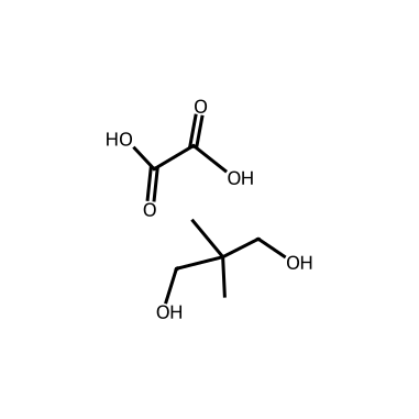 CC(C)(CO)CO.O=C(O)C(=O)O